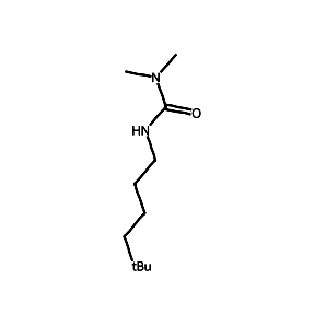 CN(C)C(=O)NCCCCC(C)(C)C